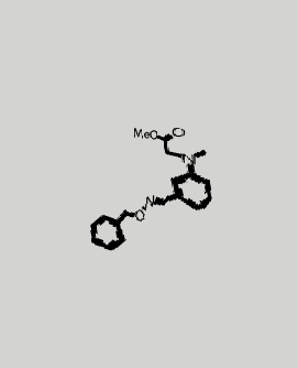 COC(=O)CN(C)c1cccc(C=NOCc2ccccc2)c1